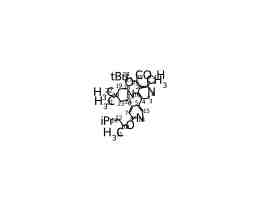 Cc1ncc(-c2ccc(OC(C)CC(C)C)nc2)c(N2CCC(C)(C)CC2)c1[C@H](OC(C)(C)C)C(=O)O